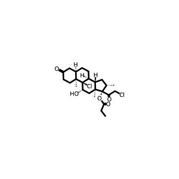 CCC(=O)O[C@@]1(C(=O)CCl)[C@@H](C)C[C@H]2[C@@H]3CC[C@@H]4CC(=O)CC[C@]4(C)[C@@]3(Cl)[C@@H](O)C[C@@]21C